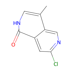 Cc1c[nH]c(=O)c2cc(Cl)ncc12